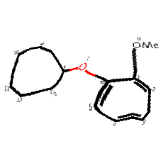 COc1c[c]ccc1OC1CCCCC1